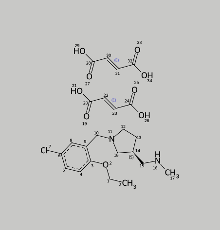 CCOc1ccc(Cl)cc1CN1CC[C@@H](CNC)C1.O=C(O)/C=C/C(=O)O.O=C(O)/C=C/C(=O)O